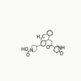 Cc1ccccc1C(CC(=O)c1ccc(=O)[nH]c1)c1ccc(C2CCN(C(=O)O)CC2)cc1